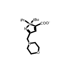 CC(C)[N+]1(C(C)(C)C)N=C(CN2CCOCC2)C=C1C(=O)[O-]